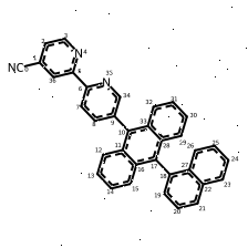 N#Cc1ccnc(-c2ccc(-c3c4ccccc4c(-c4cccc5ccccc45)c4ccccc34)cn2)c1